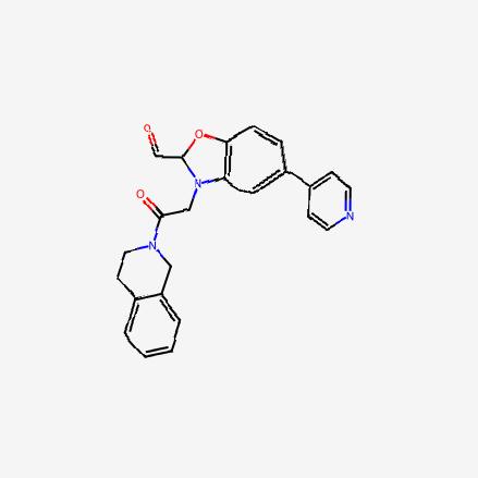 O=CC1Oc2ccc(-c3ccncc3)cc2N1CC(=O)N1CCc2ccccc2C1